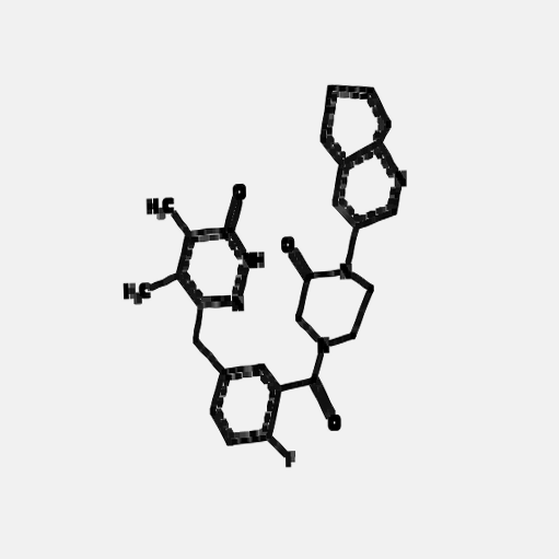 Cc1c(Cc2ccc(F)c(C(=O)N3CCN(c4cnc5ccccc5c4)C(=O)C3)c2)n[nH]c(=O)c1C